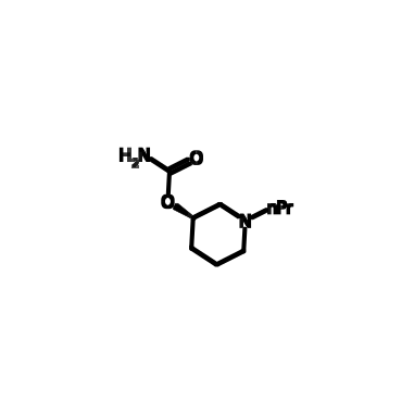 CCCN1CCC[C@@H](OC(N)=O)C1